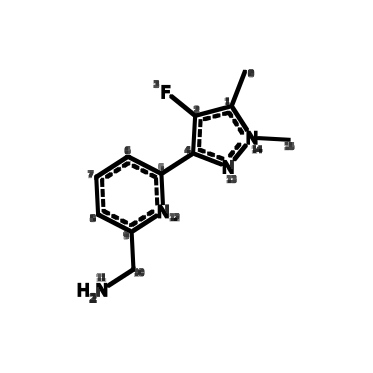 Cc1c(F)c(-c2cccc(CN)n2)nn1C